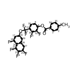 Cc1ccc(C(=O)Oc2ccc(C(F)(F)Oc3cc(F)c4c(F)c(F)c(F)cc4c3)c(F)c2F)cc1